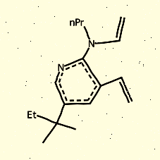 C=Cc1cc(C(C)(C)CC)cnc1N(C=C)CCC